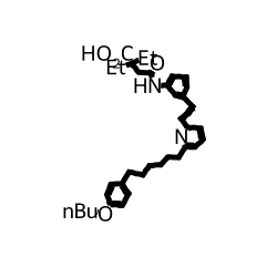 CCCCOc1ccc(CCCCCCc2cccc(C=Cc3cccc(NC(=O)CC(CC)(CC)C(=O)O)c3)n2)cc1